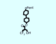 CCCCCC1CCC(C2CCC(OC(=O)/C(=C/C(F)(F)F)CO)CC2)CC1